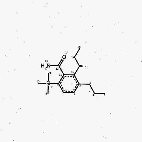 CCCc1ccc([Si](C)(C)C)c(C(N)=O)c1CCC